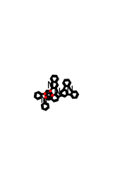 c1ccc(-n2c3ccccc3c3cc(-c4nc5ccccc5cc4-n4c5c6ccccc6ccc5c5cc6c7ccccc7n7c8ccccc8c(c54)c67)ccc32)cc1